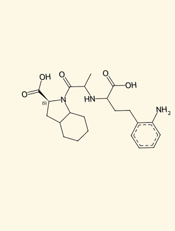 CC(NC(CCc1ccccc1N)C(=O)O)C(=O)N1C2CCCCC2C[C@H]1C(=O)O